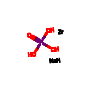 O=P(O)(O)O.[NaH].[Zr]